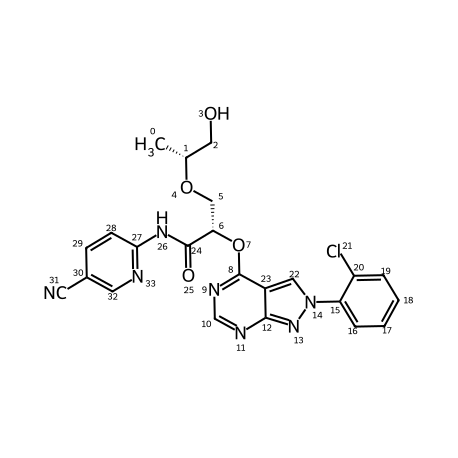 C[C@H](CO)OC[C@H](Oc1ncnc2nn(-c3ccccc3Cl)cc12)C(=O)Nc1ccc(C#N)cn1